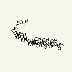 COc1cc(N=Nc2ccc(C(=O)Nc3cc4c(OCCCS(=O)(=O)O)cccc4cc3S(=O)(=O)O)cc2C)ccc1N=Nc1cc(C)c(N=Nc2cc(OC)c(N=Nc3ccc4cc(Nc5ccccc5)ccc4c3O)cc2C)cc1C